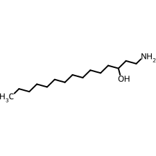 CCCCCCCCCCCCC(O)CCN